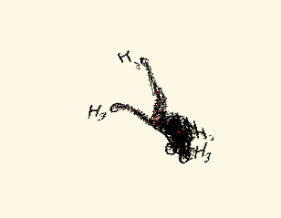 CCCCCCCCCCCCCCCCCCCCOc1cccc(C(=O)n2c(=O)c(C)cn([C@@H]3O[C@H](CO)C(OC(=O)CCC(C)=O)[C@@H]3OCCOC)c2=O)c1OCCCCCCCCCCCCCCCCCCCC